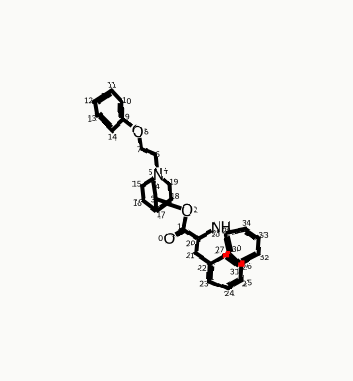 O=C(OC1C[N+]2(CCOc3ccccc3)CCC1CC2)C(Cc1ccccc1)Nc1ccccc1